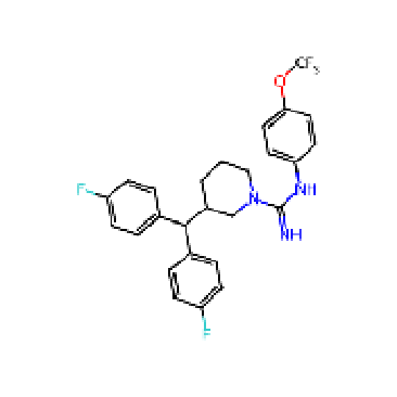 N=C(Nc1ccc(OC(F)(F)F)cc1)N1CCCC(C(c2ccc(F)cc2)c2ccc(F)cc2)C1